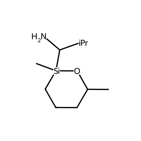 CC1CCC[Si](C)(C(N)C(C)C)O1